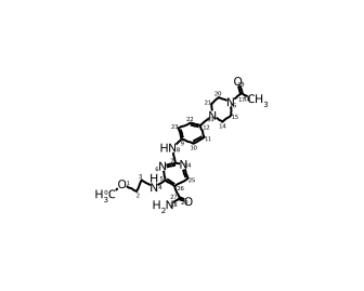 COCCNc1nc(Nc2ccc(N3CCN(C(C)=O)CC3)cc2)ncc1C(N)=O